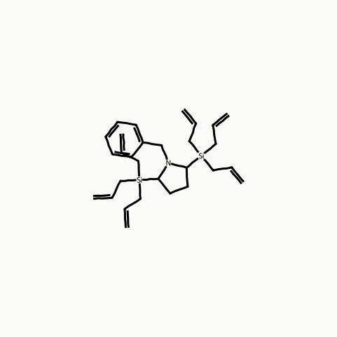 C=CC[Si](CC=C)(CC=C)C1CCC([Si](CC=C)(CC=C)CC=C)N1Cc1ccccc1